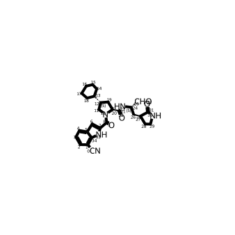 N#Cc1cccc2cc(C(=O)N3C[C@H](C4CCCCC4)C[C@H]3C(=O)N[C@H](C=O)C[C@@H]3CCNC3=O)[nH]c12